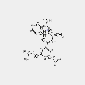 CC(NC(=O)c1cc(OCC(F)F)cc(C2CC2)c1)/C(=N/C=N)Nc1ncccn1